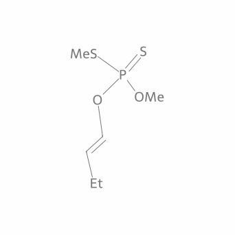 CCC=COP(=S)(OC)SC